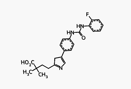 CC(C)(CCC1=NC=C(c2ccc(NC(=O)Nc3ccccc3F)cc2)C1)C(=O)O